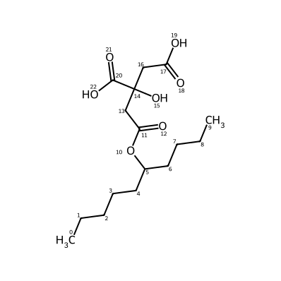 CCCCCC(CCCC)OC(=O)CC(O)(CC(=O)O)C(=O)O